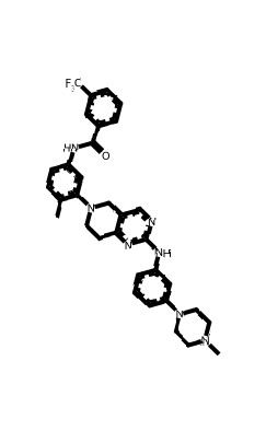 Cc1ccc(NC(=O)c2cccc(C(F)(F)F)c2)cc1N1CCc2nc(Nc3cccc(N4CCN(C)CC4)c3)ncc2C1